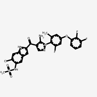 Cc1cc(Oc2cccc(F)c2F)cc(F)c1-n1ncc(C(=O)c2cc3cc(NS(C)(=O)=O)c(Cl)cc3[nH]2)c1N